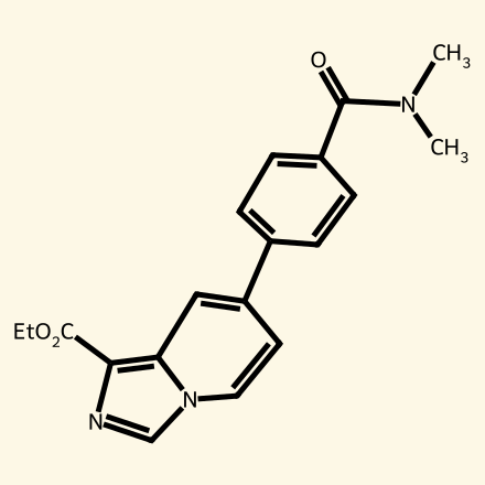 CCOC(=O)c1ncn2ccc(-c3ccc(C(=O)N(C)C)cc3)cc12